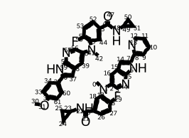 CN(c1cnc2[nH]c(-c3ccccn3)cc2c1)c1cc(C(=O)NC2CC2)ccc1F.COc1ccc(-c2cc3cc(N(C)c4cc(C(=O)NC5CC5)ccc4F)cnc3[nH]2)cc1